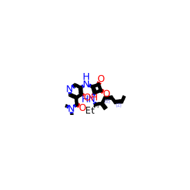 C=C(/C=C\C=C/C)[C@@H](CC)Nc1c(Nc2cncc(C(=O)N(C)C)c2O)c(=O)c1=O